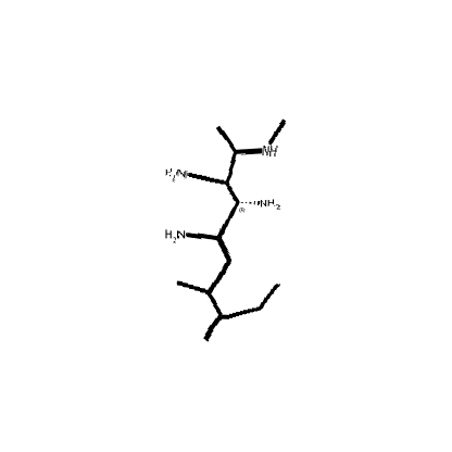 CCC(C)C(C)CC(N)[C@@H](N)C(N)C(C)NC